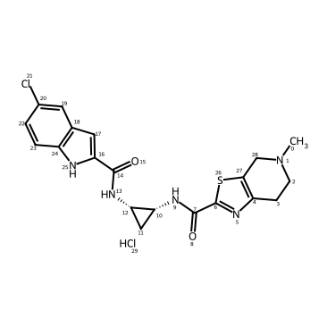 CN1CCc2nc(C(=O)N[C@@H]3C[C@@H]3NC(=O)c3cc4cc(Cl)ccc4[nH]3)sc2C1.Cl